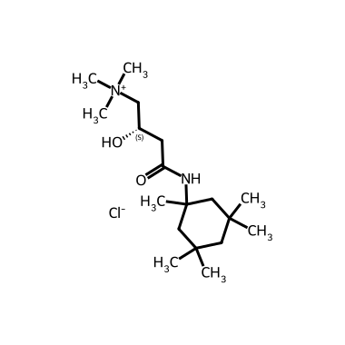 CC1(C)CC(C)(C)CC(C)(NC(=O)C[C@H](O)C[N+](C)(C)C)C1.[Cl-]